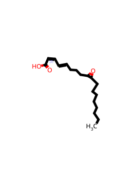 CCCCCCCCC1OC1CCCC=C/C=C\C(=O)O